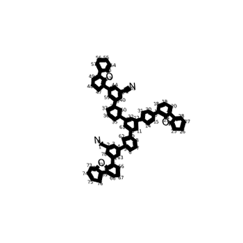 N#Cc1cc(-c2cccc(-c3cc(-c4ccc(-c5cccc6c5oc5ccccc56)cc4)cc(-c4cccc(-c5cc(C#N)cc(-c6cccc7c6oc6ccccc67)c5)c4)c3)c2)cc(-c2cccc3c2oc2ccccc23)c1